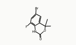 CC1(C)OC(=O)Nc2c(F)cc(Br)cc21